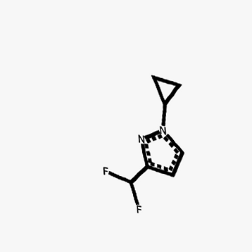 FC(F)c1ccn(C2CC2)n1